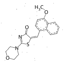 COc1ccc(C=C2SC(N3CCOCC3)=NC2=O)c2ccccc12